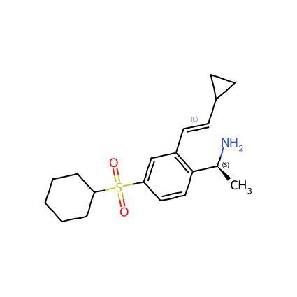 C[C@H](N)c1ccc(S(=O)(=O)C2CCCCC2)cc1/C=C/C1CC1